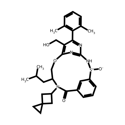 Cc1cccc(C)c1-c1nc2nc(c1CO)OCC(CC(C)C)N(C1CC3(CC3)C1)C(=O)c1cccc(c1)[S+]([O-])N2